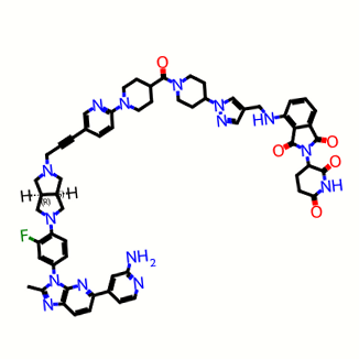 Cc1nc2ccc(-c3ccnc(N)c3)nc2n1-c1ccc(N2C[C@H]3CN(CC#Cc4ccc(N5CCC(C(=O)N6CCC(n7cc(CNc8cccc9c8C(=O)N(C8CCC(=O)NC8=O)C9=O)cn7)CC6)CC5)nc4)C[C@H]3C2)c(F)c1